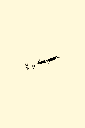 [Ni].[Ni].[Ni].[Se]=[Ni]=[Se]